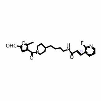 Cc1oc(C=O)cc1C(=O)N1CCC(CCCCNC(=O)/C=C/c2cccnc2F)CC1